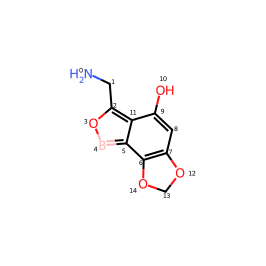 NCc1obc2c3c(cc(O)c12)OCO3